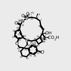 C[C@H](C(=O)O)[C@@]1(O)/C=C/C[C@H](C)[C@@H](C)S(=O)(=O)NC(=O)c2ccc3c(c2)N(C[C@@H]2CC[C@H]21)C[C@@]1(CCCc2cc(Cl)ccc21)CO3